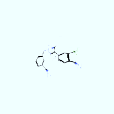 Cc1nn(Cc2cccc(C#N)c2)c(C)c1-c1ccc(C#N)c(C(F)(F)F)c1